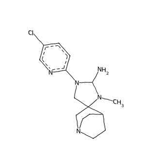 CN1C(N)N(c2ccc(Cl)cn2)CC12CN1CCC2CC1